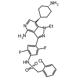 CCn1nc(-c2cc(F)c(NS(=O)(=O)Cc3ccccc3Cl)cc2F)c2c(N)ncc([C@H]3CC[C@H](N)CC3)c21